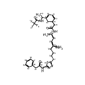 CC(NC(=O)C(F)(F)F)C1=CC=CC(CC(=O)N/C(N)=C/C=C(\N)CCCCc2nnc(NC(=O)Cc3ccccc3)s2)C1